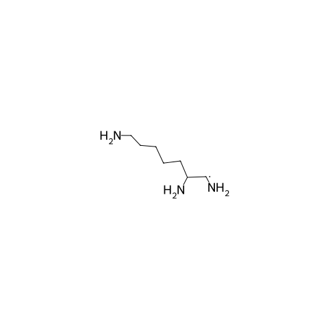 N[CH]C(N)CCCCCN